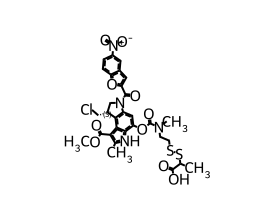 COC(=O)c1c(C)[nH]c2c(OC(=O)N(C)CCSSC(C)C(=O)O)cc3c(c12)[C@H](CCl)CN3C(=O)c1cc2cc([N+](=O)[O-])ccc2o1